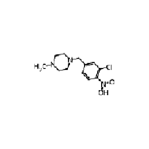 CN1CCN(Cc2ccc([N+](=O)O)c(Cl)c2)CC1